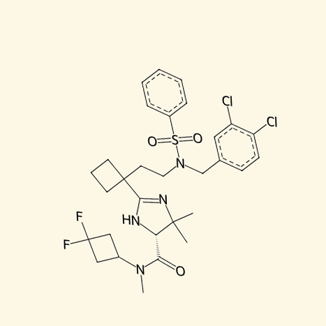 CN(C(=O)[C@@H]1NC(C2(CCN(Cc3ccc(Cl)c(Cl)c3)S(=O)(=O)c3ccccc3)CCC2)=NC1(C)C)C1CC(F)(F)C1